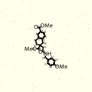 COC(=O)c1ccc2c(c1)CCC(CCNCc1ccc(OC)cc1)(C(=O)OC)C2